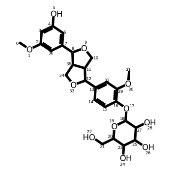 COc1cc(O)cc(C2OCC3C(c4ccc(OC5OC(CO)C(O)C(O)C5O)c(OC)c4)OCC23)c1